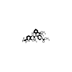 CC(=O)N1CCC(N(C(=O)Nc2ccc(C(F)(F)F)nc2C)c2ccccc2C(C)C)CC1